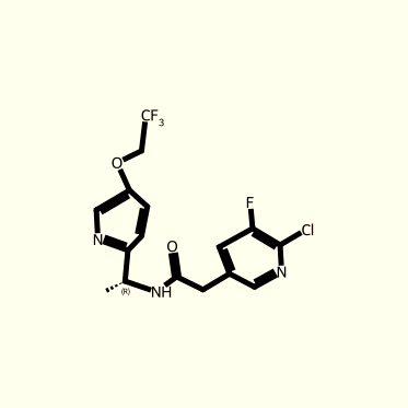 C[C@@H](NC(=O)Cc1cnc(Cl)c(F)c1)c1ccc(OCC(F)(F)F)cn1